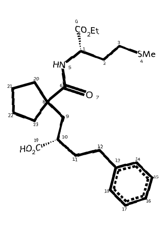 CCOC(=O)[C@H](CCSC)NC(=O)C1(C[C@H](CCc2ccccc2)C(=O)O)CCCC1